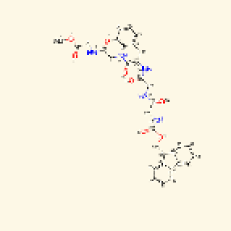 CC(C)(C)OC(=O)CNC(=O)CNC(=O)[C@H](Cc1ccccc1)NC(=O)CNC(=O)CNC(=O)OCC1c2ccccc2-c2ccccc21